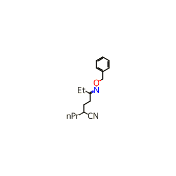 CCCC(C#N)CC/C(CC)=N/OCc1ccccc1